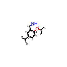 CC(C)Oc1ccc(C(C)C)cc1CN